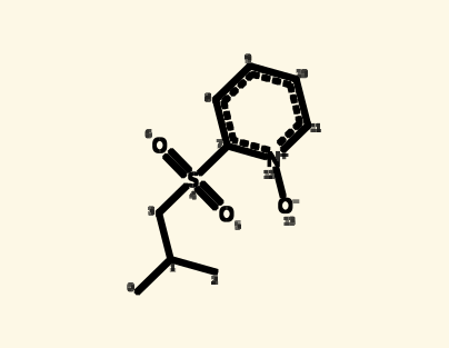 CC(C)CS(=O)(=O)c1cccc[n+]1[O-]